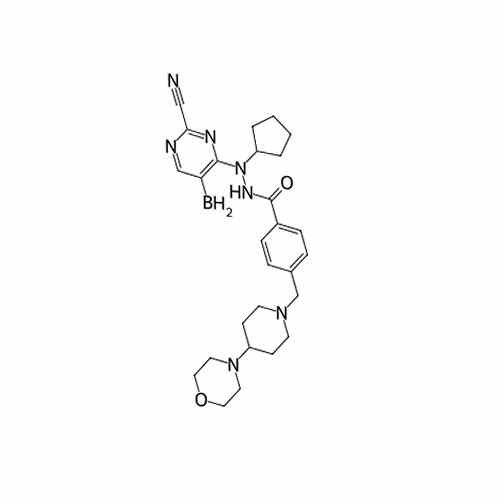 Bc1cnc(C#N)nc1N(NC(=O)c1ccc(CN2CCC(N3CCOCC3)CC2)cc1)C1CCCC1